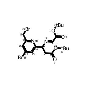 CC(C)(C)OC(=O)C=NC(CC(=O)OC(C)(C)C)c1cc(Br)cc(CBr)n1